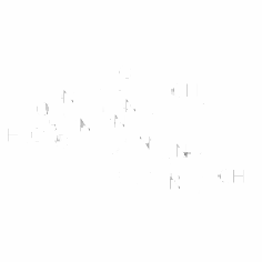 C=CCn1c(=O)c2cnc(S(C)(=O)=O)nc2n1-c1cccc(-c2ncc(C)cn2)n1